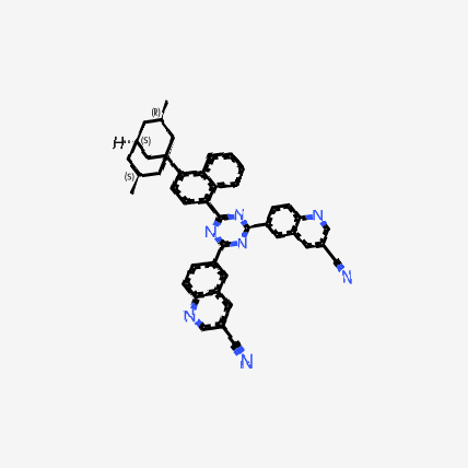 C[C@@H]1C[C@@H]2C[C@H](C)CC(c3ccc(-c4nc(-c5ccc6ncc(C#N)cc6c5)nc(-c5ccc6ncc(C#N)cc6c5)n4)c4ccccc34)(C1)C2